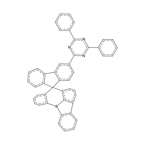 c1ccc(-c2nc(-c3ccccc3)nc(-c3ccc4c(c3)-c3ccccc3C43c4ccccc4B4c5ccccc5-c5cccc3c54)n2)cc1